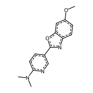 COc1ccc2nc(-c3ccc(N(C)C)nc3)oc2c1